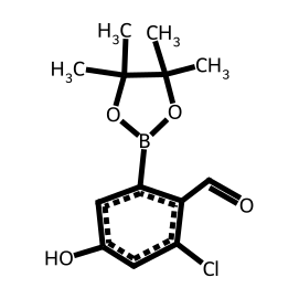 CC1(C)OB(c2cc(O)cc(Cl)c2C=O)OC1(C)C